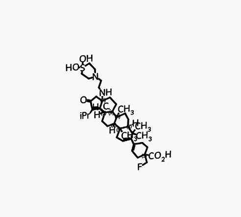 CC(C)C1=C2[C@H]3CC[C@@H]4[C@@]5(C)CC=C(C6=CC[C@](CF)(C(=O)O)CC6)C(C)(C)[C@@H]5CC[C@@]4(C)[C@]3(C)CC[C@@]2(NCCN2CCS(O)(O)CC2)CC1=O